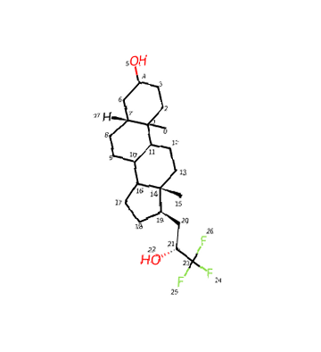 CC12CCC(O)C[C@H]1CCC1C2CC[C@@]2(C)C1CC[C@@H]2C[C@@H](O)C(F)(F)F